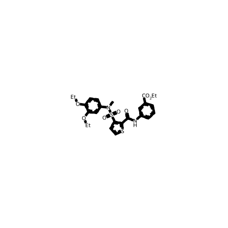 CCOC(=O)c1cccc(NC(=O)c2sccc2S(=O)(=O)N(C)c2ccc(OCC)c(OCC)c2)c1